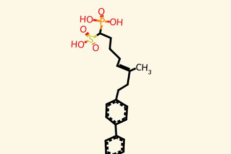 CC(=CCCCC(P(=O)(O)O)S(=O)(=O)O)CCc1ccc(-c2ccccc2)cc1